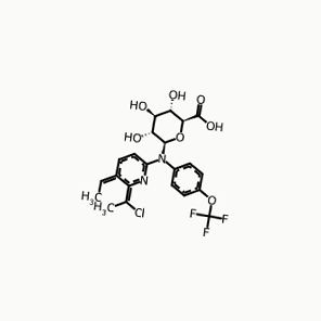 C/C=c1/ccc(N(c2ccc(OC(F)(F)F)cc2)[C@@H]2O[C@H](C(=O)O)[C@@H](O)[C@H](O)[C@H]2O)n/c1=C(/C)Cl